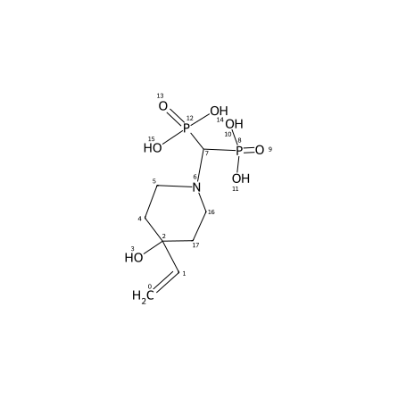 C=CC1(O)CCN(C(P(=O)(O)O)P(=O)(O)O)CC1